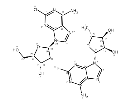 C[C@H]1O[C@@H](n2cnc3c(N)nc(F)nc32)[C@H](O)[C@@H]1O.Nc1nc(Cl)nc2c1ncn2[C@H]1C[C@H](O)[C@@H](CO)O1